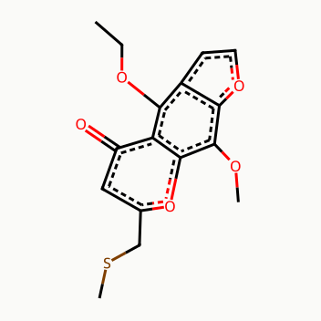 CCOc1c2ccoc2c(OC)c2oc(CSC)cc(=O)c12